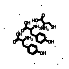 NC(CS)C(=O)O.NC(Cc1ccc(O)cc1)C(=O)O.NC(Cc1ccc(O)cc1)C(=O)O